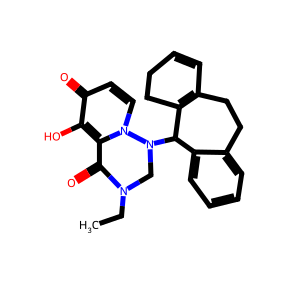 CCN1CN(C2C3=C(C=CCC3)CCc3ccccc32)n2ccc(=O)c(O)c2C1=O